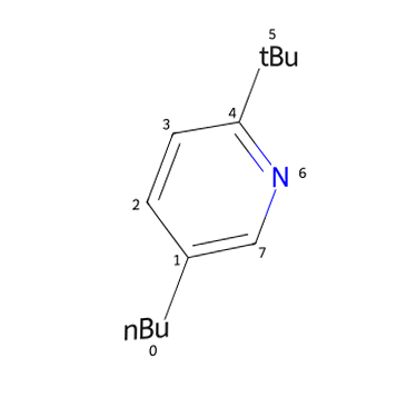 CCCCc1ccc(C(C)(C)C)nc1